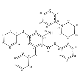 C1=CCC(Cc2cc(CC3C=CC=CC3)c(OCc3ccccc3)c(Pc3ccccc3N3CCCCC3)c2)C=C1